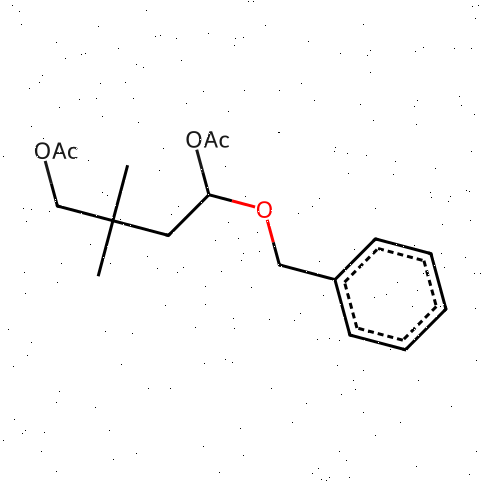 CC(=O)OCC(C)(C)CC(OCc1ccccc1)OC(C)=O